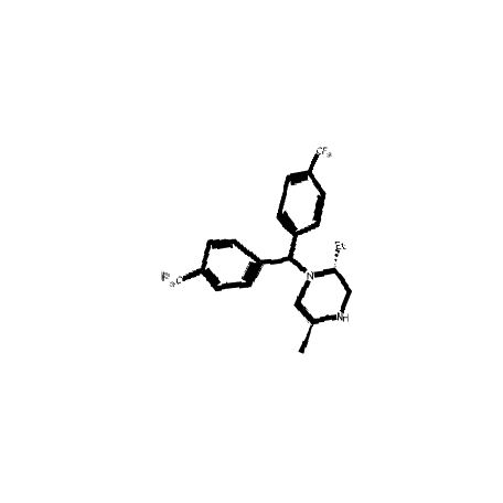 CC[C@@H]1CN[C@@H](C)CN1C(c1ccc(C(F)(F)F)cc1)c1ccc(C(F)(F)F)cc1